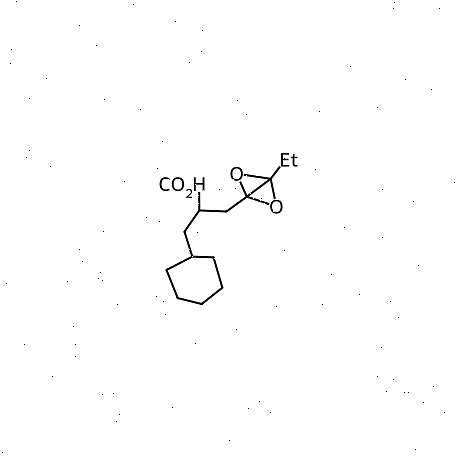 CCC12OC1(CC(CC1CCCCC1)C(=O)O)O2